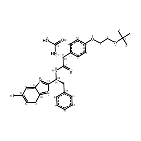 CC(C)(C)OCCOc1ccc([C@@H](NC(=O)O)C(=O)N[C@@H](Cc2ccccc2)C2=NC3=CC(I)=CCC3=N2)cc1